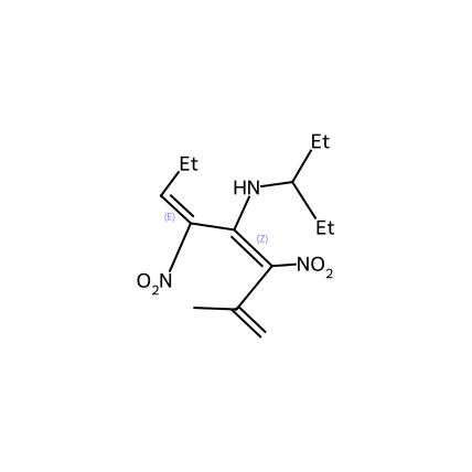 C=C(C)/C(=C(NC(CC)CC)\C(=C/CC)[N+](=O)[O-])[N+](=O)[O-]